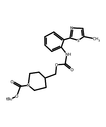 Cc1cnc(-c2ccccc2NC(=O)OCC2CCN(C(=O)OC(C)(C)C)CC2)s1